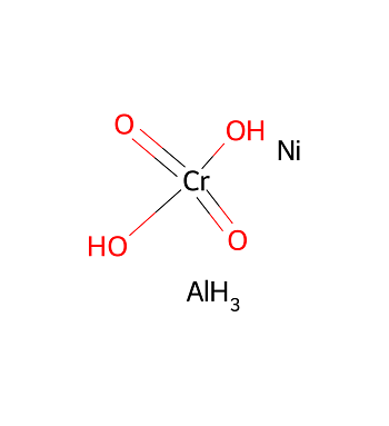 [AlH3].[Ni].[O]=[Cr](=[O])([OH])[OH]